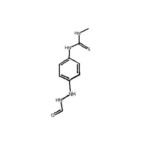 CNC(=S)Nc1ccc(NNC=O)cc1